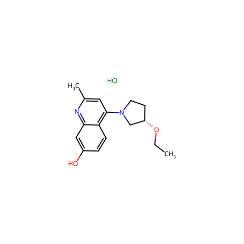 CCO[C@H]1CCN(c2cc(C)nc3cc(O)ccc23)C1.Cl